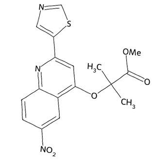 COC(=O)C(C)(C)Oc1cc(-c2cncs2)nc2ccc([N+](=O)[O-])cc12